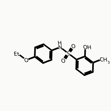 CCOc1ccc(NS(=O)(=O)c2cccc(C)c2O)cc1